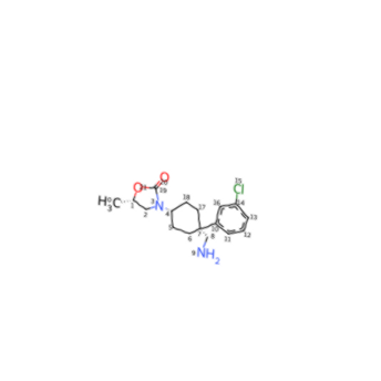 C[C@H]1CN([C@H]2CC[C@](CN)(c3cccc(Cl)c3)CC2)C(=O)O1